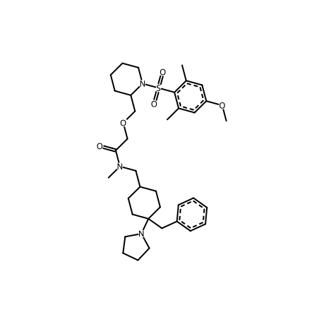 COc1cc(C)c(S(=O)(=O)N2CCCCC2COCC(=O)N(C)CC2CCC(Cc3ccccc3)(N3CCCC3)CC2)c(C)c1